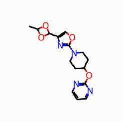 CC1OC(c2coc(N3CCC(Oc4ncccn4)CC3)n2)O1